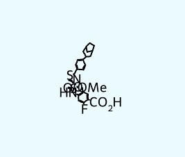 COc1cc(C(=O)O)c(F)cc1NS(=O)(=O)c1csc(-c2ccc(C3CC4CCC(C4)C3)cc2)n1